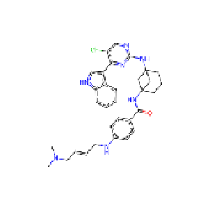 CN(C)C/C=C/CNc1ccc(C(=O)NC23CCCC(Nc4ncc(Cl)c(-c5c[nH]c6ccccc56)n4)(C2)C3)cc1